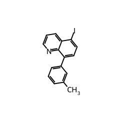 Cc1cccc(-c2ccc(I)c3cccnc23)c1